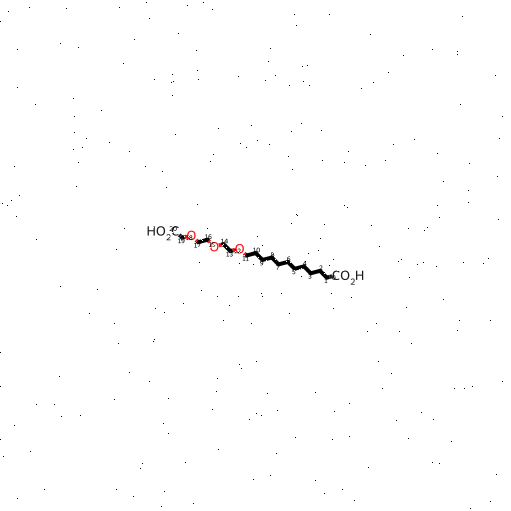 O=C(O)CCCCCCCCCCCOCCOCCOCC(=O)O